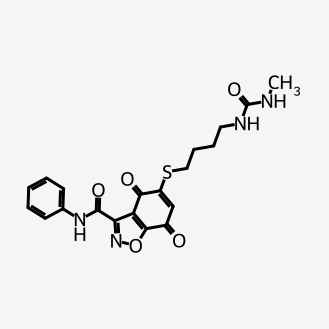 CNC(=O)NCCCCSC1=CC(=O)c2onc(C(=O)Nc3ccccc3)c2C1=O